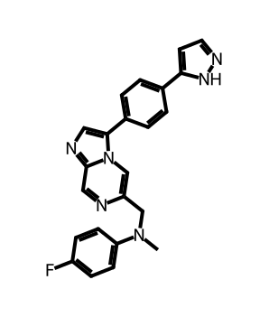 CN(Cc1cn2c(-c3ccc(-c4ccn[nH]4)cc3)cnc2cn1)c1ccc(F)cc1